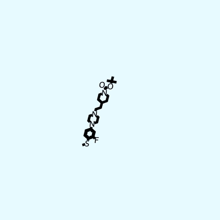 CSc1ccc(N2CCN(CCC3CCN(C(=O)OC(C)(C)C)CC3)CC2)cc1F